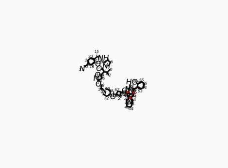 CC(C)C(C(=O)N1CCC[C@H]1C(=O)N[C@@H](C)c1ccc(C#N)cc1)c1cc(OCCN2CCC(O[C@H]3C[C@H](Oc4cc(N5C6CCC5CN(c5cc(-c7ccccc7O)nnc5N)C6)ccn4)C3)CC2)no1